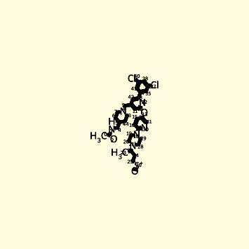 CC(=O)NCC1CCN(Cc2cc(Oc3ccc(N4CCN(C(C)CC[S+]=O)CC4)nc3)nc(-c3cc(Cl)cc(Cl)c3)c2)CC1